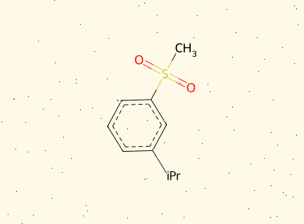 CC(C)c1cc[c]c(S(C)(=O)=O)c1